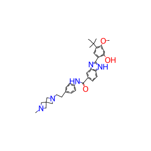 COc1cc(O)c(-c2nc3cc(C(=O)Nc4ccc(CCN5CC6(CN(C)C6)C5)cc4)ccc3[nH]2)cc1C(C)(C)C